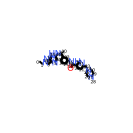 CCn1cc2ncc(N[C@@H](C)c3cccc(NC(=O)c4ccc(CN5CCN(C)CC5)nc4)c3)nc2n1